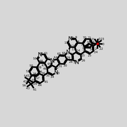 CC(C)(C)c1ccc(-c2cncc3c2c2c(-c4ccc(C(C)(C)C)cc4)cnc4c5cc6c7ncc(-c8ccc(C(C)(C)C)cc8)c8c9c(-c%10ccc(C(C)(C)C)cc%10)cncc9n(c6cc5n3c42)c78)cc1